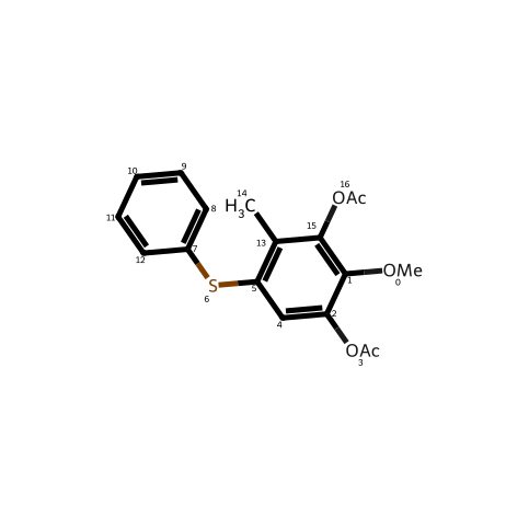 COc1c(OC(C)=O)cc(Sc2ccccc2)c(C)c1OC(C)=O